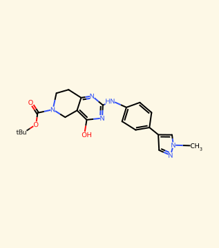 Cn1cc(-c2ccc(Nc3nc(O)c4c(n3)CCN(C(=O)OC(C)(C)C)C4)cc2)cn1